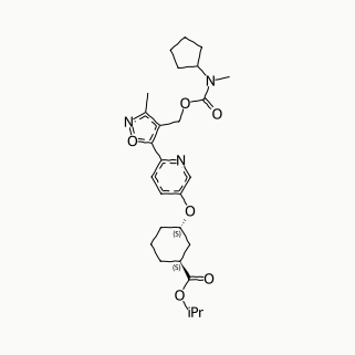 Cc1noc(-c2ccc(O[C@H]3CCC[C@H](C(=O)OC(C)C)C3)cn2)c1COC(=O)N(C)C1CCCC1